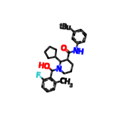 Cc1cccc(F)c1C(O)N1CCCC(C(=O)Nc2cccc(C(C)(C)C)c2)C1C1CCCC1